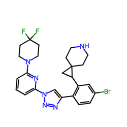 FC1(F)CCN(c2cccc(-n3cc(-c4ccc(Br)cc4C4CC45CCNCC5)nn3)n2)CC1